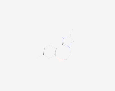 Cc1cn2c(n1)-c1ccc(Br)cc1OCC2